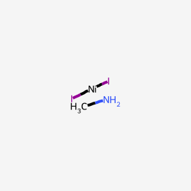 CN.[I][Ni][I]